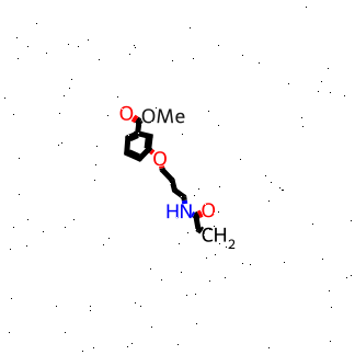 C=CC(=O)NCCCCOc1cccc(C(=O)OC)c1